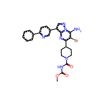 COC(=O)NC(=O)N1CCC(c2nc3c(-c4ccc(-c5ccccc5)nc4)cnn3c(N)c2Br)CC1